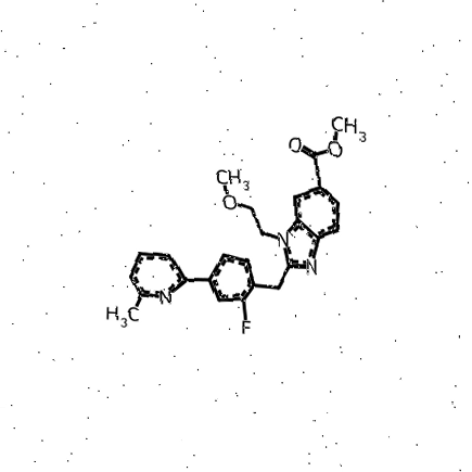 COCCn1c(Cc2ccc(-c3cccc(C)n3)cc2F)nc2ccc(C(=O)OC)cc21